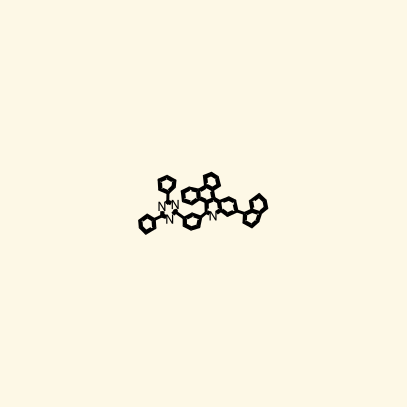 c1ccc(-c2nc(-c3ccccc3)nc(-c3cccc(-c4nc5cc(-c6cccc7ccccc67)ccc5c5c6ccccc6c6ccccc6c45)c3)n2)cc1